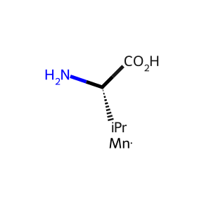 CC(C)[C@H](N)C(=O)O.[Mn]